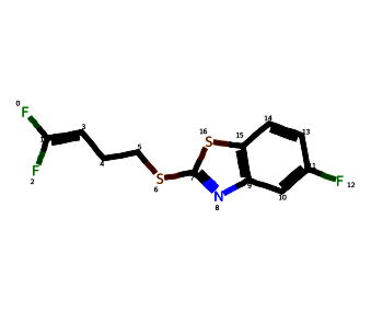 FC(F)=CCCSc1nc2cc(F)ccc2s1